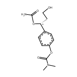 CN(C)C(=O)Oc1ccc([C@@H](CCO)OC(N)=O)cc1